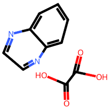 O=C(O)C(=O)O.c1ccc2nccnc2c1